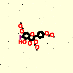 COCOc1ccc(-c2oc3cc(OCOC)c(I)c(O)c3c(=O)c2OCOC)cc1